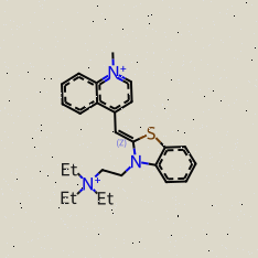 CC[N+](CC)(CC)CCN1/C(=C/c2cc[n+](C)c3ccccc23)Sc2ccccc21